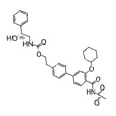 CS(=O)(=O)NC(=O)c1ccc(-c2ccc(CCOC(=O)NC[C@H](O)c3ccccc3)cc2)cc1OC1CCCCC1